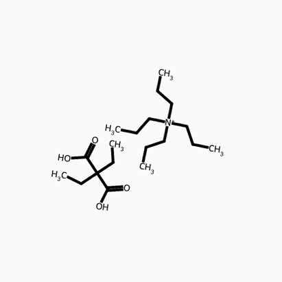 CCC(CC)(C(=O)O)C(=O)O.CCC[N+](CCC)(CCC)CCC